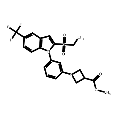 CCS(=O)(=O)c1cc2cc(C(F)(F)F)ccc2n1-c1cccc(N2CC(C(=O)OC)C2)c1